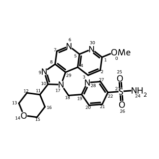 COc1ccc2c(ncc3nc(C4CCOCC4)n(Cc4ccc(S(N)(=O)=O)cn4)c32)n1